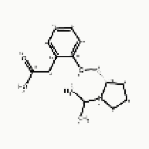 CC(C)N1CCC[C@H]1COc1ccccc1CC(=O)O